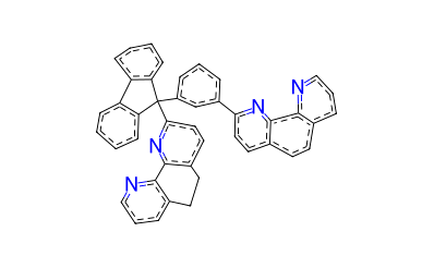 c1cc(-c2ccc3ccc4cccnc4c3n2)cc(C2(c3ccc4c(n3)-c3ncccc3CC4)c3ccccc3-c3ccccc32)c1